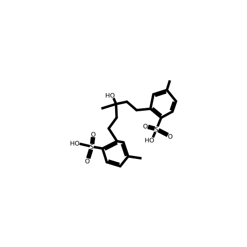 Cc1ccc(S(=O)(=O)O)c(CCC(C)(O)CCc2cc(C)ccc2S(=O)(=O)O)c1